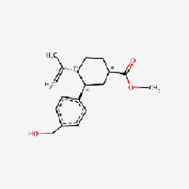 C=C(C)[C@@H]1CC[C@@H](C(=O)OC)C[C@H]1c1ccc(CO)cc1